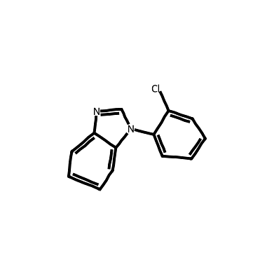 Clc1ccccc1-n1cnc2ccccc21